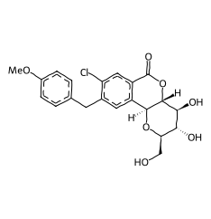 COc1ccc(Cc2cc3c(cc2Cl)C(=O)O[C@@H]2[C@@H](O)[C@H](O)[C@@H](CO)O[C@@H]32)cc1